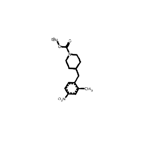 Cc1cc([N+](=O)[O-])ccc1CC1CCN(C(=O)OC(C)(C)C)CC1